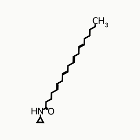 CCCCC/C=C/C/C=C/C/C=C/C/C=C/CCCC(=O)NC1CC1